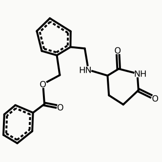 O=C1CCC(NCc2ccccc2COC(=O)c2ccccc2)C(=O)N1